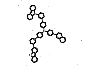 c1cc(-c2ccc(N(c3ccc(-c4cccc(-n5c6ccccc6c6ccccc65)c4)cc3)c3ccc(-c4ccc5ccccc5c4)cc3)cc2)cc(-c2ccc3c(c2)oc2ccccc23)c1